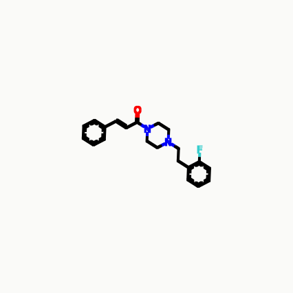 O=C(/C=C/c1ccccc1)N1CCN(CCc2ccccc2F)CC1